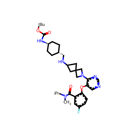 CC(C)N(C)C(=O)c1cc(F)ccc1Oc1cncnc1N1CC2(CC(NC[C@H]3CC[C@H](NC(=O)OC(C)(C)C)CC3)C2)C1